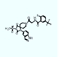 CS(=O)(=O)N1C(=O)N(c2ccc3[nH]ncc3c2)C2(CCN(C(=O)CNC(=O)c3cc(C(F)(F)F)ccc3F)CC2)C1=O